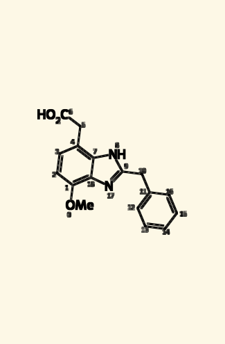 COc1ccc(CC(=O)O)c2[nH]c(Cc3ccccc3)nc12